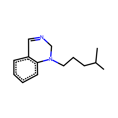 CC(C)CCCN1CN=Cc2ccccc21